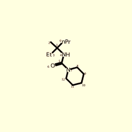 CCCC(C)(CC)NC(=O)N1CCCCC1